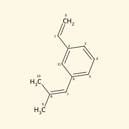 C=Cc1cccc(C=C(C)C)c1